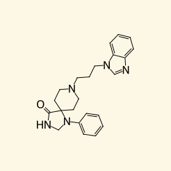 O=C1NCN(c2ccccc2)C12CCN(CCCn1cnc3ccccc31)CC2